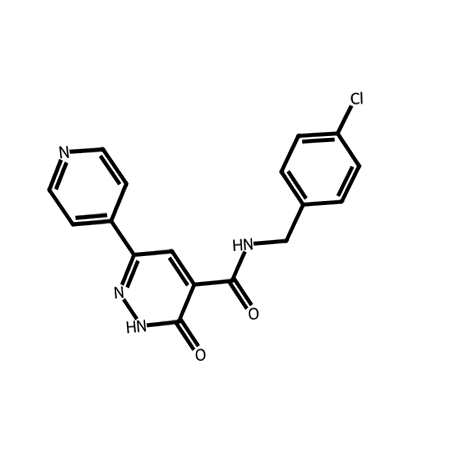 O=C(NCc1ccc(Cl)cc1)c1cc(-c2ccncc2)n[nH]c1=O